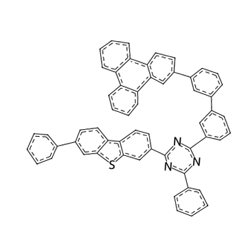 c1ccc(-c2ccc3c(c2)sc2cc(-c4nc(-c5ccccc5)nc(-c5cccc(-c6cccc(-c7ccc8c9ccccc9c9ccccc9c8c7)c6)c5)n4)ccc23)cc1